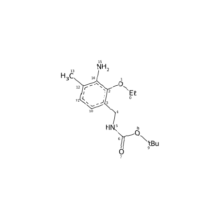 CCOc1c(CNC(=O)OC(C)(C)C)ccc(C)c1N